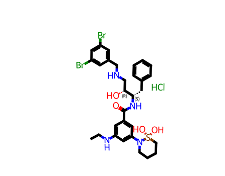 CCNc1cc(C(=O)N[C@@H](Cc2ccccc2)[C@H](O)CNCc2cc(Br)cc(Br)c2)cc(N2CCCCS2(O)O)c1.Cl